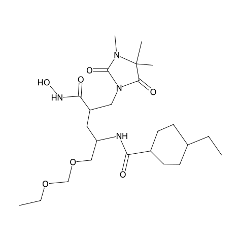 CCOCOCC(CC(CN1C(=O)N(C)C(C)(C)C1=O)C(=O)NO)NC(=O)C1CCC(CC)CC1